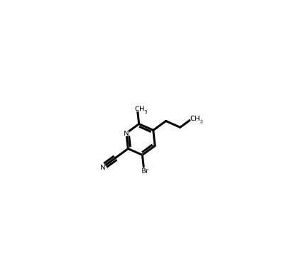 CCCc1cc(Br)c(C#N)nc1C